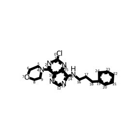 Clc1nc(N2CCOCC2)c2ncnc(NCCCc3ccccc3)c2n1